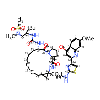 COc1ccc2c(O[C@@H]3C[C@H]4C(=O)N[C@]5(C(=O)O)CC5CCCCCCC[C@H](NC(=O)NC(CN(C)S(C)(=O)=O)C(C)(C)C)C(=O)N4C3)cc(-c3csc(NC(C)C)n3)nc2c1